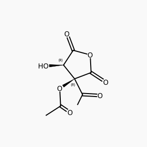 CC(=O)O[C@]1(C(C)=O)C(=O)OC(=O)[C@@H]1O